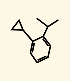 CC(C)c1ccccc1[C]1CC1